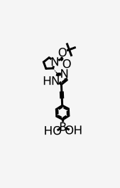 CC(C)(C)OC(=O)N1CCC[C@H]1c1ncc(C#Cc2ccc(B(O)O)cc2)[nH]1